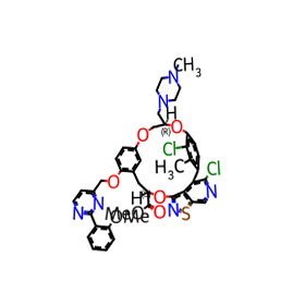 COC(=O)[C@@H]1Cc2cc(ccc2OCc2ccnc(-c3ccccc3OC)n2)OC[C@@H](CN2CCN(C)CC2)Oc2ccc(c(C)c2Cl)-c2c(Cl)ncc3snc(c23)O1